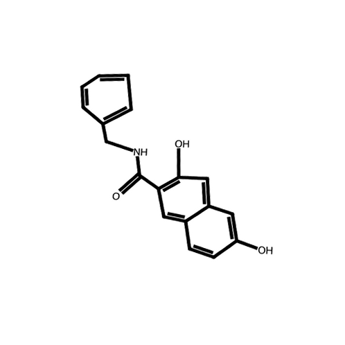 O=C(NCc1ccccc1)c1cc2ccc(O)cc2cc1O